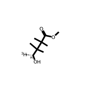 [2H][C@@H](O)C(C)(C)C(C)(C)C(=O)OC